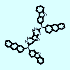 c1ccc2cc3cc(N(c4ccc5c(c4)oc4ccccc45)c4cc5oc6nc(N(c7ccc8cc9ccccc9cc8c7)c7ccc8c(c7)oc7ccccc78)nnc6c5nn4)ccc3cc2c1